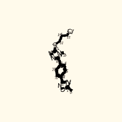 Cc1nc(-c2ccc(-c3nnc(SCCCCl)n3C)cc2)no1